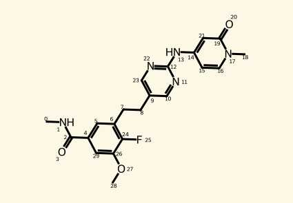 CNC(=O)c1cc(CCc2cnc(Nc3ccn(C)c(=O)c3)nc2)c(F)c(OC)c1